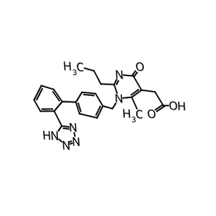 CCCc1nc(=O)c(CC(=O)O)c(C)n1Cc1ccc(-c2ccccc2-c2nnn[nH]2)cc1